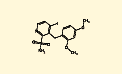 COc1ccc(Cc2c(I)ccnc2S(N)(=O)=O)c(OC)c1